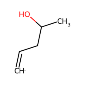 [CH]=CCC(C)O